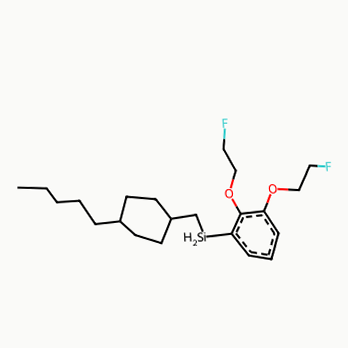 CCCCCC1CCC(C[SiH2]c2cccc(OCCF)c2OCCF)CC1